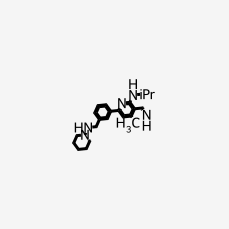 Cc1cc(-c2cccc(CNN3CCCCC3)c2)nc(NC(C)C)c1C=N